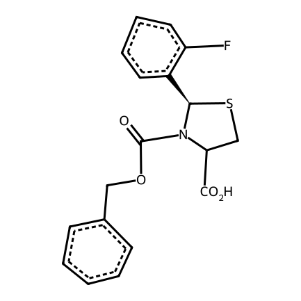 O=C(O)C1CS[C@H](c2ccccc2F)N1C(=O)OCc1ccccc1